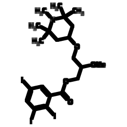 COC(COC(=O)c1cc(I)cc(I)c1I)COC1CC(C)(C)N(C)C(C)(C)C1